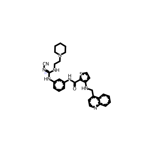 N#C/N=C(\NCCN1CCCCC1)Nc1cccc(NC(=O)c2sccc2NCc2ccnc3ccccc23)c1